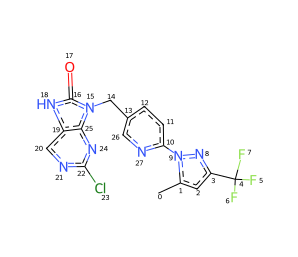 Cc1cc(C(F)(F)F)nn1-c1ccc(Cn2c(=O)[nH]c3cnc(Cl)nc32)cn1